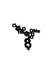 COC(=O)[C@@H]1C[C@@H](NC(=O)c2ccc(Cl)s2)CN1C(=O)c1ccc2c(c1)CCN(C)CC2